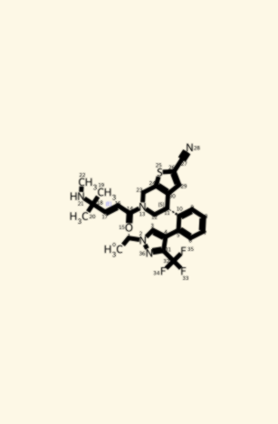 CCn1cc(-c2ccccc2[C@@H]2CN(C(=O)/C=C/C(C)(C)NC)Cc3sc(C#N)cc32)c(C(F)(F)F)n1